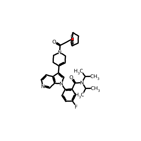 CC(C)N(C(=O)c1cc(F)ccc1-n1cc(C2=CCN(C(=O)C3NC4CCC3CC4)CC2)c2ccncc21)C(C)C